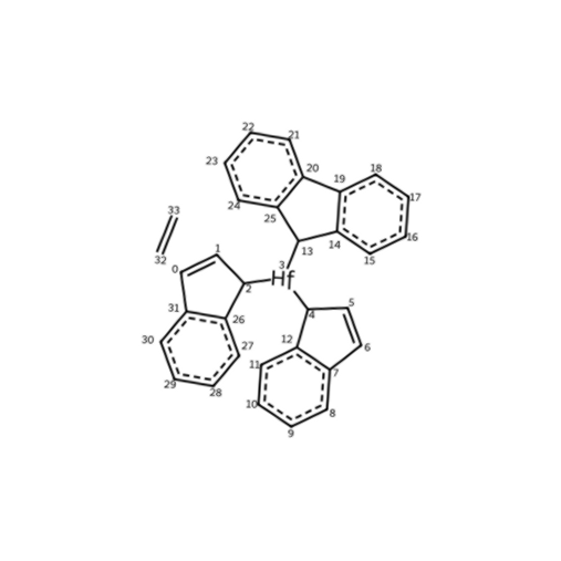 C1=C[CH]([Hf]([CH]2C=Cc3ccccc32)[CH]2c3ccccc3-c3ccccc32)c2ccccc21.C=C